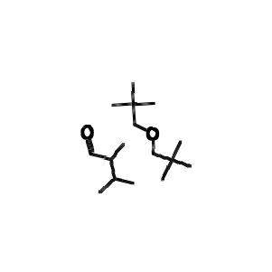 CC(C)(C)COCC(C)(C)C.CC(C)C(C)C=O